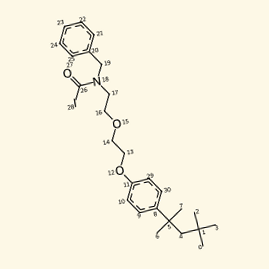 CC(C)(C)CC(C)(C)c1ccc(OCCOCCN(Cc2ccccc2)C(=O)I)cc1